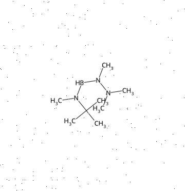 CN(C)N(C)BN(C)C(C)(C)C